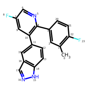 Cc1cc(-c2ncc(F)cc2-c2ccc3[nH]ncc3c2)ccc1F